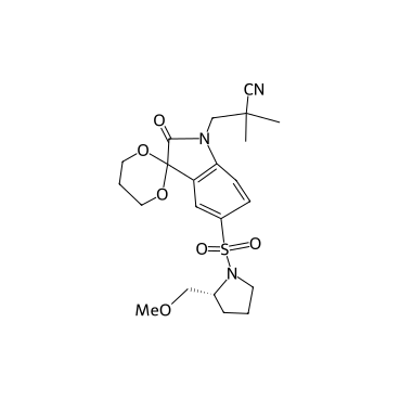 COC[C@H]1CCCN1S(=O)(=O)c1ccc2c(c1)C1(OCCCO1)C(=O)N2CC(C)(C)C#N